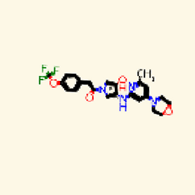 Cc1cc(N2CCOCC2)cc(N[C@@H]2CN(C(=O)Cc3ccc(OC(F)(F)F)cc3)C[C@H]2O)n1